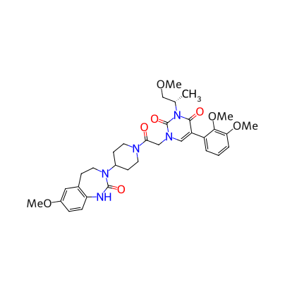 COC[C@H](C)n1c(=O)c(-c2cccc(OC)c2OC)cn(CC(=O)N2CCC(N3CCc4cc(OC)ccc4NC3=O)CC2)c1=O